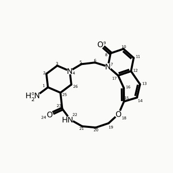 NC1CCN2CCn3c(=O)ccc4ccc(cc43)OCCCNC(=O)C1C2